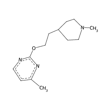 Cc1ccnc(OCCC2CCN(C)CC2)n1